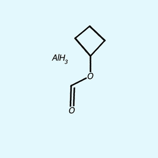 O=COC1CCC1.[AlH3]